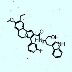 CCc1cc2c(cc1OC)CCn1c-2cc(C(=O)N[C@@H](CO)Cc2c[nH]c3ccccc23)c1-c1cccc(F)c1